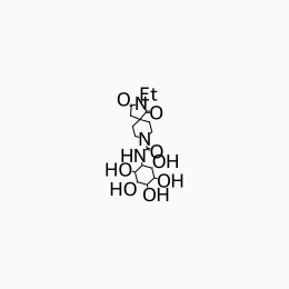 CCN1C(=O)CC2(CCN(C(=O)NC3C(O)C(O)C(O)C(O)C3O)CC2)C1=O